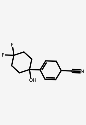 N#CC1C=CC(C2(O)CCC(F)(F)CC2)=CC1